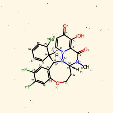 CN1C(=O)c2c(O)c(=O)ccn2N2[C@H](C3(C)C=CC=CC3Br)c3cc(F)c(F)cc3OCC[C@@H]12